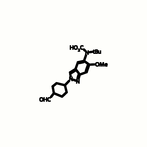 COc1cc2nn(C3CCC(C=O)CC3)cc2cc1N(C(=O)O)C(C)(C)C